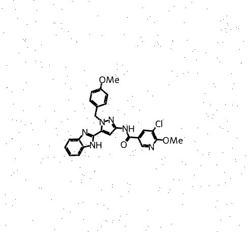 COc1ccc(Cn2nc(NC(=O)c3cnc(OC)c(Cl)c3)cc2-c2nc3ccccc3[nH]2)cc1